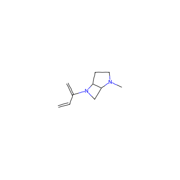 C=CC(=C)N1CC2C1CCN2C